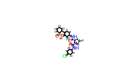 CC1CC(C(=O)Nc2ccc(-c3ccccc3S(C)(=O)=O)cc2F)N(C(=O)Nc2ccc(Cl)cc2)C1